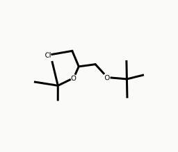 CC(C)(C)OCC(CCl)OC(C)(C)C